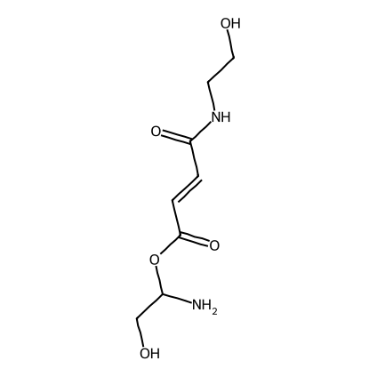 NC(CO)OC(=O)/C=C/C(=O)NCCO